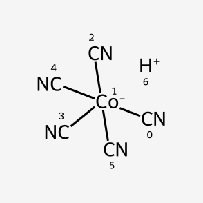 N#[C][Co-]([C]#N)([C]#N)([C]#N)[C]#N.[H+]